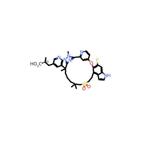 C[C@@H](Cc1cncc(C2(C)CCCC(C)(C)CS(=O)(=O)CCc3c(c(F)cc4[nH]ccc34)Oc3ccnc(c3)-c3nc2nn3C)c1)C(=O)O